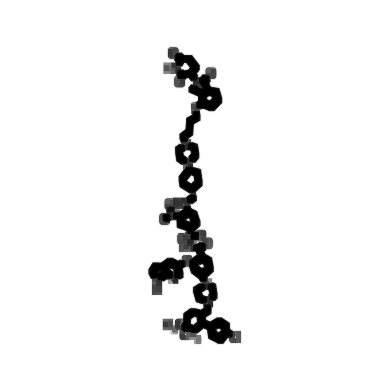 CC1(C)CCC(CN2CCN(c3ccc(C(=O)NS(=O)(=O)c4ccc(NC[C@H]5CC[C@H](N6CCN(CCCCSc7cccc8c7CN(C7CCC(=O)NC7=O)C8=O)CC6)CC5)c([N+](=O)[O-])c4)c(Oc4cnc5[nH]ccc5c4)c3)CC2)=C(c2ccc(Cl)cc2)C1